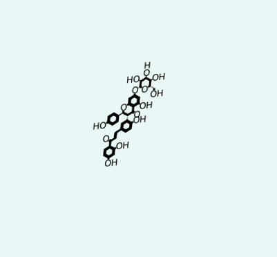 O=C(/C=C/c1ccc(O)c([C@H]2C(=O)c3c(O)cc(O[C@H]4O[C@@H](CO)[C@H](O)[C@@H](O)[C@H]4O)cc3O[C@@H]2c2ccc(O)cc2)c1)c1ccc(O)cc1O